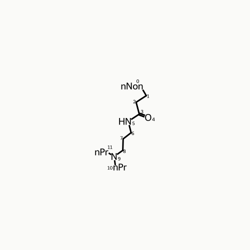 CCCCCCCCCCCC(=O)NCCCN(CCC)CCC